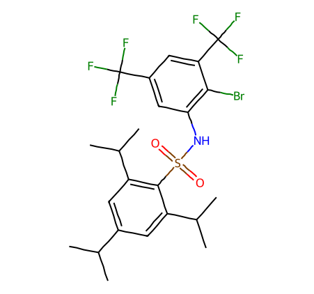 CC(C)c1cc(C(C)C)c(S(=O)(=O)Nc2cc(C(F)(F)F)cc(C(F)(F)F)c2Br)c(C(C)C)c1